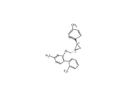 Cc1ccc([C@H]2C[C@@H]2COc2nc(C)ncc2-c2ccccc2C(F)(F)F)nc1